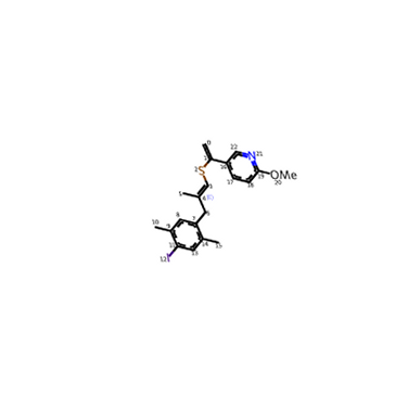 C=C(S/C=C(\C)Cc1cc(C)c(I)cc1C)c1ccc(OC)nc1